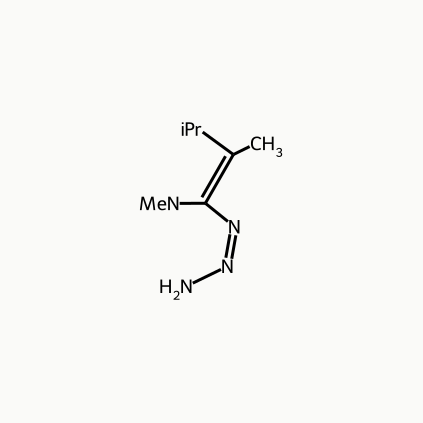 CNC(/N=N\N)=C(/C)C(C)C